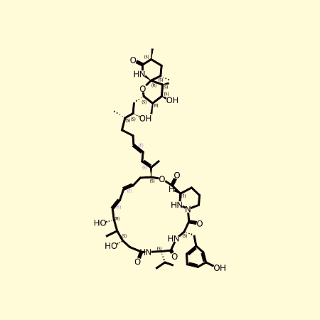 C/C(=C\C=C\CC[C@H](C)[C@@H](O)C[C@@H]1O[C@@]2(NC(=O)[C@@H](C)C[C@@H]2C)[C@@H](C)[C@@H](O)[C@H]1C)[C@@H]1C/C=C/C=C/[C@@H](O)C(C)[C@@H](O)CC(=O)N[C@@H](C(C)C)C(=O)N[C@@H](Cc2cccc(O)c2)C(=O)N2CCC[C@H](N2)C(=O)O1